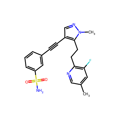 Cc1cnc(CCc2c(C#Cc3cccc(S(N)(=O)=O)c3)cnn2C)c(F)c1